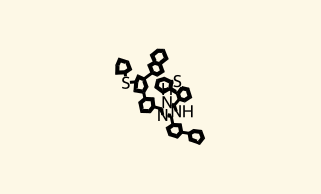 c1ccc(Sc2cc(-c3cccc(C4N=C(c5cccc(-c6ccccc6)c5)NC(c5cccc6sc7ccccc7c56)N4)c3)cc(-c3ccc4ccccc4c3)c2)cc1